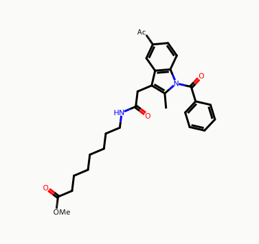 COC(=O)CCCCCCCNC(=O)Cc1c(C)n(C(=O)c2ccccc2)c2ccc(C(C)=O)cc12